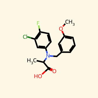 COc1cccc(CN(c2ccc(F)c(Cl)c2)C(C)C(=O)O)c1